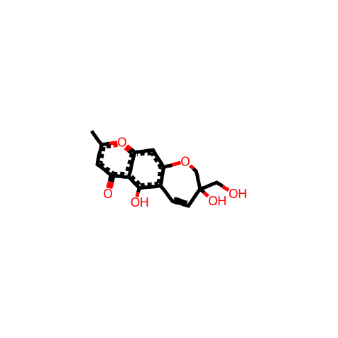 Cc1cc(=O)c2c(O)c3c(cc2o1)OCC(O)(CO)C=C3